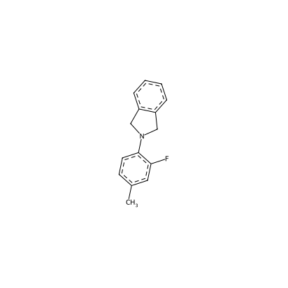 Cc1ccc(N2Cc3ccccc3C2)c(F)c1